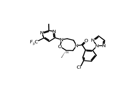 Cc1nc(N2CCN(C(=O)c3cc(Cl)ccc3-n3nccn3)C[C@H](C)O2)cc(C(F)(F)F)n1